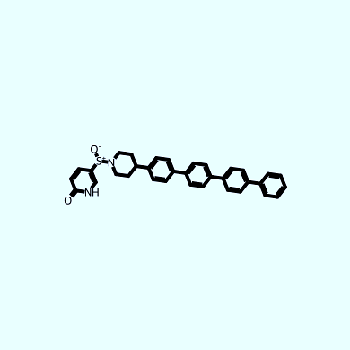 O=c1ccc([S+]([O-])N2CCC(c3ccc(-c4ccc(-c5ccc(-c6ccccc6)cc5)cc4)cc3)CC2)c[nH]1